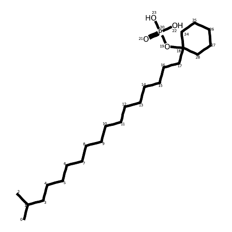 CC(C)CCCCCCCCCCCCCCCC1(OP(=O)(O)O)CCCCC1